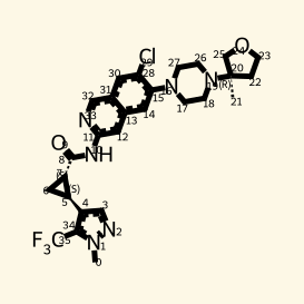 Cn1ncc([C@H]2C[C@@H]2C(=O)Nc2cc3cc(N4CCN([C@]5(C)CCOC5)CC4)c(Cl)cc3cn2)c1C(F)(F)F